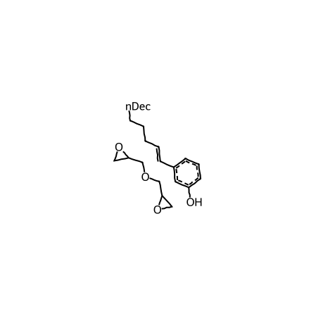 C(OCC1CO1)C1CO1.CCCCCCCCCCCCC/C=C/c1cccc(O)c1